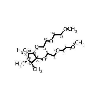 COCCOCCO[C@@H]1[C@@H](OCCOCCOC)[C@@H](C)N(C)[C@@H]1C